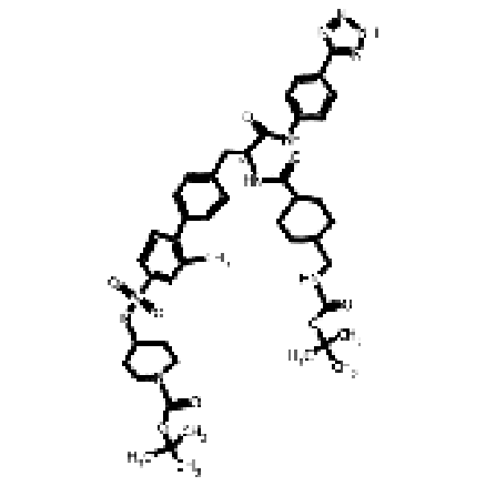 Cc1cc(S(=O)(=O)NC2CCN(C(=O)OC(C)(C)C)CC2)ccc1-c1ccc(C[C@H](NC(=O)C2CCC(CNC(=O)OC(C)(C)C)CC2)C(=O)Nc2ccc(-c3nn[nH]n3)cc2)cc1